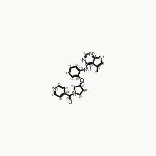 Cc1csc2ncnc(Nc3ccccc3OC3CCN(C(=O)c4ccncc4)C3)c12